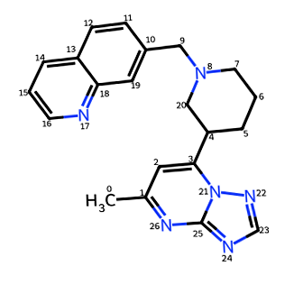 Cc1cc(C2CCCN(Cc3ccc4cccnc4c3)C2)n2ncnc2n1